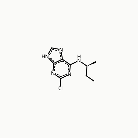 CC[C@H](C)Nc1nc(Cl)nc2[nH]cnc12